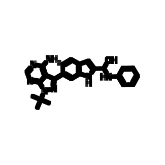 CC(C)(C)n1nc(-c2ccc3cc(C(O)Nc4ccccc4)[nH]c3c2)c2c(N)ncnc21